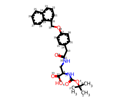 CC(C)(C)OC(=O)NC(CNC(=O)Cc1ccc(OCc2cccc3ccccc23)cc1)C(=O)O